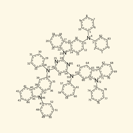 c1ccc(N(c2ccccc2)c2ccc3c(c2)c2ccccc2n3-c2nc(N(c3ccccc3)c3ccc4c(c3)c3ccccc3n4-c3ccccc3)cc(N(c3ccccc3)c3ccc4c5ccccc5n(-c5ccccc5)c4c3)n2)cc1